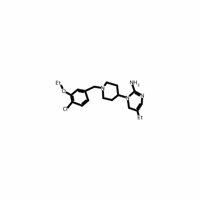 CCOc1cc(CN2CCC(N3CC(CC)=CN=C3N)CC2)ccc1Cl